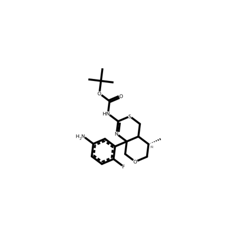 C[C@@H]1COCC2(c3cc(N)ccc3F)N=C(NC(=O)OC(C)(C)C)SCC12